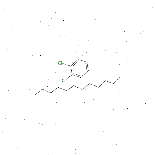 CCCCCCCCCCCC.Clc1ccccc1Cl